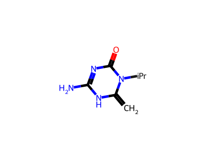 C=C1NC(N)=NC(=O)N1C(C)C